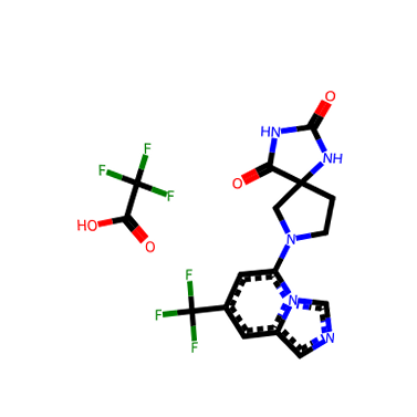 O=C(O)C(F)(F)F.O=C1NC(=O)C2(CCN(c3cc(C(F)(F)F)cc4cncn34)C2)N1